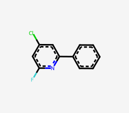 Fc1cc(Cl)cc(-c2ccccc2)n1